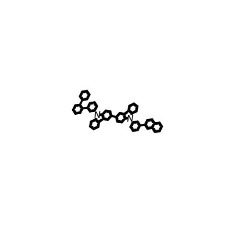 c1ccc(-c2ccccc2-c2cccc(-n3c4ccccc4c4cc(-c5ccc6c(c5)c5ccccc5n6-c5cccc(-c6ccc7ccccc7c6)c5)ccc43)c2)cc1